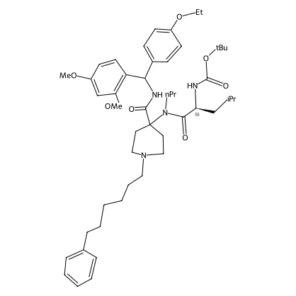 CCCN(C(=O)[C@H](CC(C)C)NC(=O)OC(C)(C)C)C1(C(=O)NC(c2ccc(OCC)cc2)c2ccc(OC)cc2OC)CCN(CCCCCCc2ccccc2)CC1